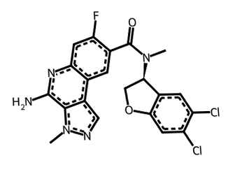 CN(C(=O)c1cc2c(cc1F)nc(N)c1c2cnn1C)[C@@H]1COc2cc(Cl)c(Cl)cc21